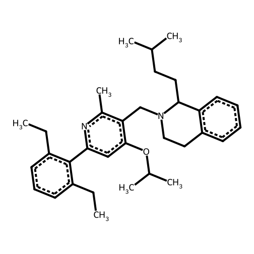 CCc1cccc(CC)c1-c1cc(OC(C)C)c(CN2CCc3ccccc3C2CCC(C)C)c(C)n1